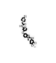 CCN1CCN(CC(=O)Nc2cc(Oc3ccc4c(c3)nc(Nc3ccc(C(F)(F)F)c(Cl)c3)n4C)ccn2)CC1